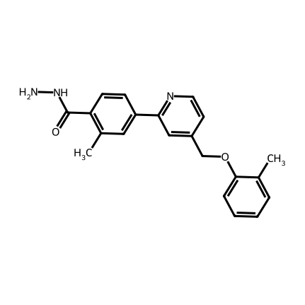 Cc1ccccc1OCc1ccnc(-c2ccc(C(=O)NN)c(C)c2)c1